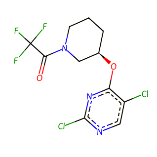 O=C(N1CCC[C@@H](Oc2nc(Cl)ncc2Cl)C1)C(F)(F)F